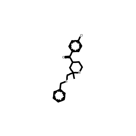 CC1(CSCc2ccccc2)CC(C(=O)c2ccc(Cl)cc2)CC[N]1